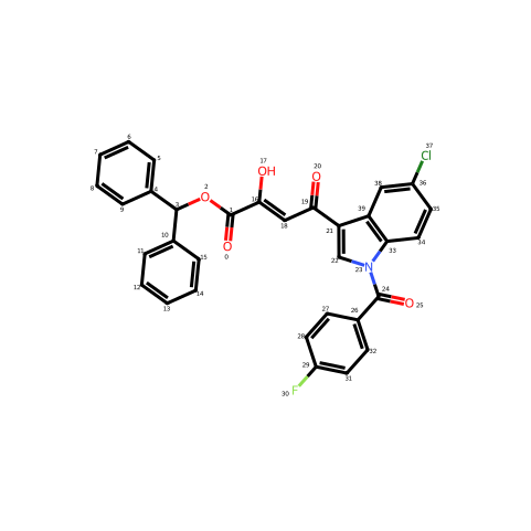 O=C(OC(c1ccccc1)c1ccccc1)C(O)=CC(=O)c1cn(C(=O)c2ccc(F)cc2)c2ccc(Cl)cc12